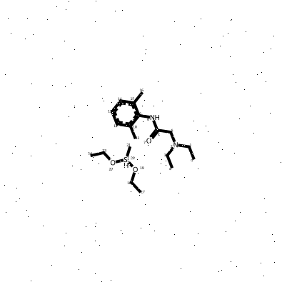 CCN(CC)CC(=O)Nc1c(C)cccc1C.CCO[SiH](C)OCC